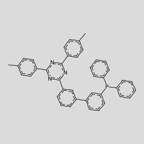 Cc1ccc(-c2nc(-c3ccc(C)cc3)nc(-c3cccc(-c4cccc(P(c5ccccc5)c5ccccc5)c4)c3)n2)cc1